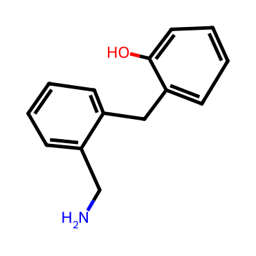 NCc1ccccc1Cc1ccccc1O